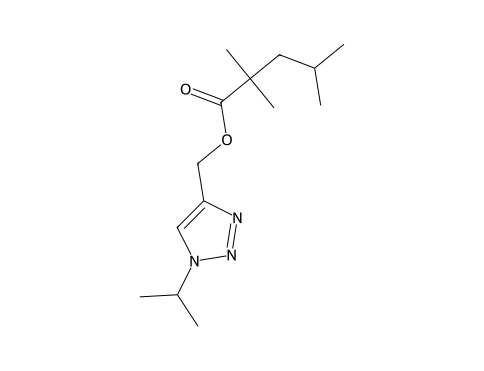 CC(C)CC(C)(C)C(=O)OCc1cn(C(C)C)nn1